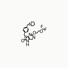 O=c1[nH]c2cnc(OCCOC(F)F)nc2n1Cc1ccc(CN2CCCC2)cc1